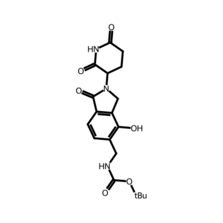 CC(C)(C)OC(=O)NCc1ccc2c(c1O)CN(C1CCC(=O)NC1=O)C2=O